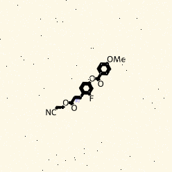 COc1ccc(C(=O)Oc2ccc(/C=C/C(=O)OCCC#N)c(F)c2)cc1